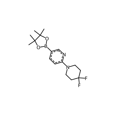 CC1(C)OB(c2ccc(N3CCC(F)(F)CC3)nc2)OC1(C)C